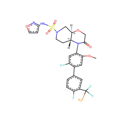 COc1cc(-c2ccc(F)c(C(F)(F)P)c2)c(F)cc1N1C(=O)CO[C@@H]2CN(S(=O)(=O)Nc3ccon3)CC[C@H]21